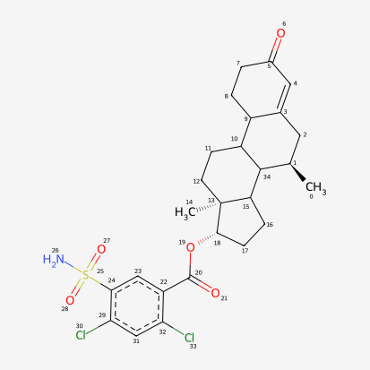 C[C@@H]1CC2=CC(=O)CCC2C2CC[C@@]3(C)C(CC[C@@H]3OC(=O)c3cc(S(N)(=O)=O)c(Cl)cc3Cl)C21